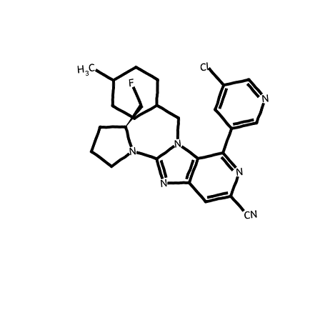 CC1CCC(Cn2c(N3CCC[C@H]3CF)nc3cc(C#N)nc(-c4cncc(Cl)c4)c32)CC1